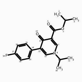 CC(C)OC(=O)c1cn(C(C)C)cc(-c2ccc(F)cc2)c1=O